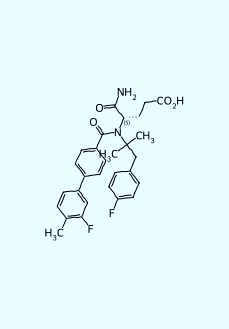 Cc1ccc(-c2ccc(C(=O)N([C@@H](CCC(=O)O)C(N)=O)C(C)(C)Cc3ccc(F)cc3)cc2)cc1F